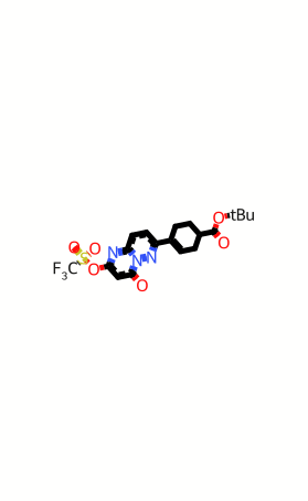 CC(C)(C)OC(=O)C1CC=C(c2ccc3nc(OS(=O)(=O)C(F)(F)F)cc(=O)n3n2)CC1